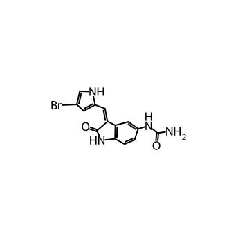 NC(=O)Nc1ccc2c(c1)C(=Cc1cc(Br)c[nH]1)C(=O)N2